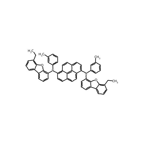 CCc1cccc2c1oc1c(N(c3cccc(C)c3)c3ccc4ccc5c(N(c6cccc(C)c6)c6cccc7c6oc6c(CC)cccc67)ccc6ccc3c4c65)cccc12